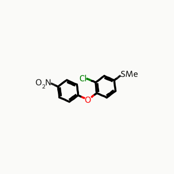 CSc1ccc(Oc2ccc([N+](=O)[O-])cc2)c(Cl)c1